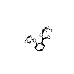 CC(C)OC(=O)c1ccccc1O.P.c1cocn1